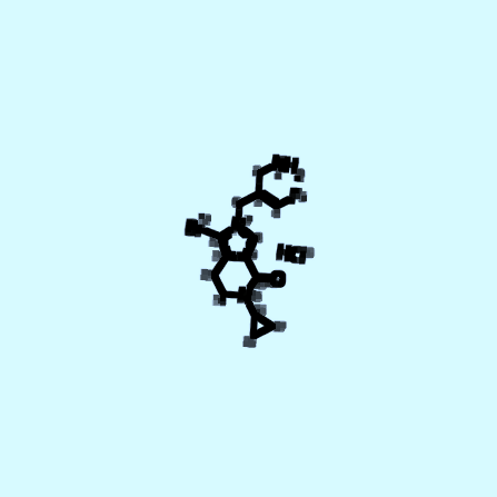 Cl.NCC(=CF)Cn1cc2c(c1Br)CCN(C1CC1)C2=O